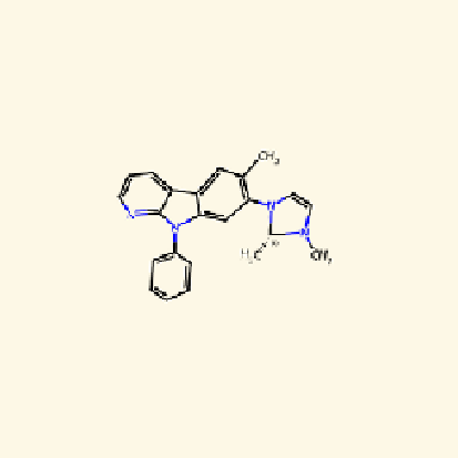 Cc1cc2c3cccnc3n(-c3ccccc3)c2cc1N1C=CN(C)[C@@H]1C